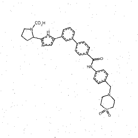 O=C(Nc1ccc(CN2CCS(=O)(=O)CC2)cc1)c1ccc(-c2cccc(-c3cnc(C4CCCN4C(=O)O)[nH]3)c2)cc1